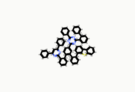 C[n+]1c(-c2ccccc2)nc(-c2ccccc2-c2ccccc2)nc1-c1ccc(-c2ccccc2-c2nc(-c3ccccc3)cc(-c3ccccc3)n2)c(-c2ccccc2-c2cccc3c2sc2ccccc23)c1